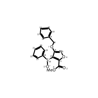 COC(=O)c1onc(OCc2ccccc2)c1[S+]([O-])c1ccccc1